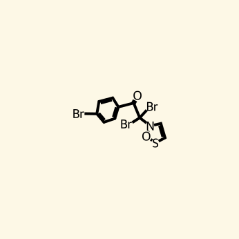 O=C(c1ccc(Br)cc1)C(Br)(Br)N1C=CSO1